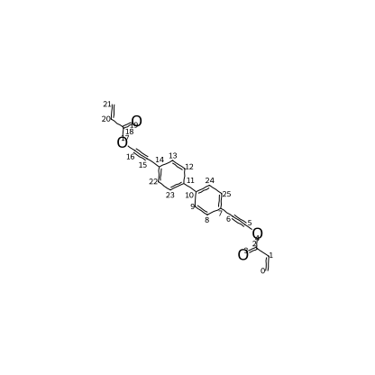 C=CC(=O)OC#Cc1ccc(-c2ccc(C#COC(=O)C=C)cc2)cc1